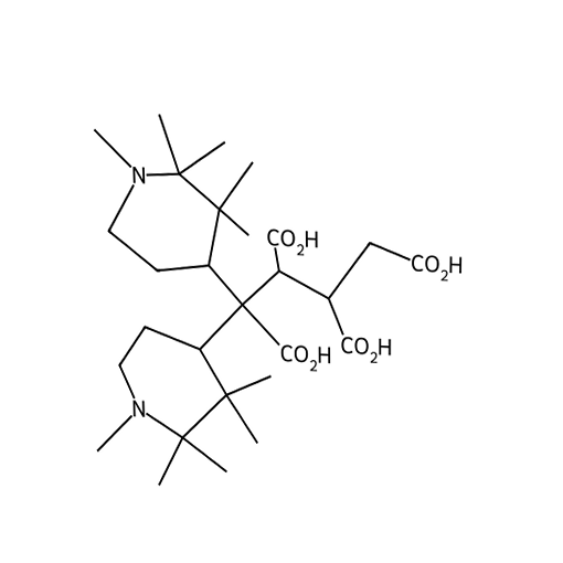 CN1CCC(C(C(=O)O)(C(C(=O)O)C(CC(=O)O)C(=O)O)C2CCN(C)C(C)(C)C2(C)C)C(C)(C)C1(C)C